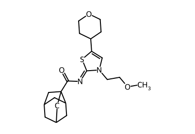 COCCn1cc(C2CCOCC2)s/c1=N\C(=O)C12CC3CC(CC1C3)C2